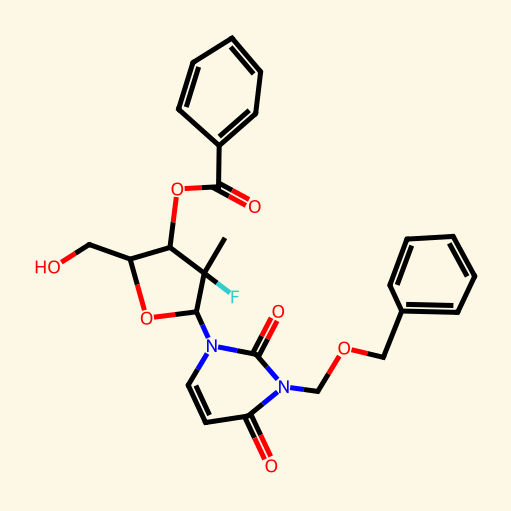 CC1(F)C(OC(=O)c2ccccc2)C(CO)OC1n1ccc(=O)n(COCc2ccccc2)c1=O